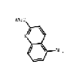 Bc1cccc2nc(OC)ccc12